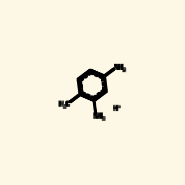 Cc1ccc(N)cc1N.[H+]